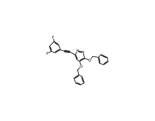 Fc1cc(F)cc(C#Cc2cc(OCc3ccccc3)c(OCc3ccccc3)nn2)c1